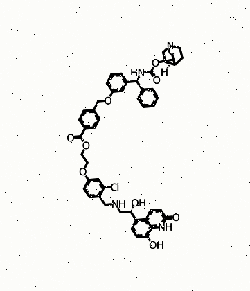 O=C(N[C@@H](c1ccccc1)c1cccc(OCc2ccc(C(=O)OCCOc3ccc(CNC[C@H](O)c4ccc(O)c5[nH]c(=O)ccc45)c(Cl)c3)cc2)c1)O[C@H]1CN2CCC1CC2